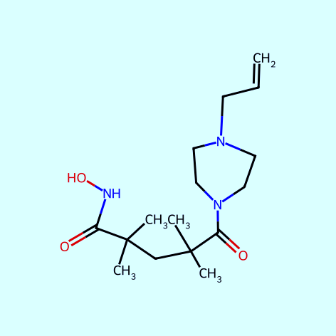 C=CCN1CCN(C(=O)C(C)(C)CC(C)(C)C(=O)NO)CC1